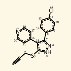 C#CCSc1[nH]nc(-c2ccc(Cl)cc2)c1-c1ccncc1